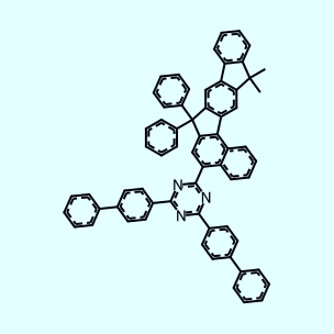 CC1(C)c2ccccc2-c2cc3c(cc21)-c1c(cc(-c2nc(-c4ccc(-c5ccccc5)cc4)nc(-c4ccc(-c5ccccc5)cc4)n2)c2ccccc12)C3(c1ccccc1)c1ccccc1